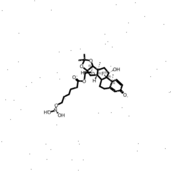 CC1(C)O[C@@H]2C[C@H]3C4CCC5=CC(=O)C=C[C@]5(C)[C@@]4(F)[C@@H](O)C[C@]3(C)[C@]2(C(=O)COC(=O)CCCCCON(O)O)O1